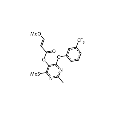 COC=CC(=O)Oc1c(Oc2cccc(C(F)(F)F)c2)nc(C)nc1SC